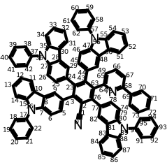 N#Cc1c(-c2ccc3c(c2)c2ccccc2n3-c2ccccc2)c(-c2ccc3c(c2)c2ccccc2n3-c2ccccc2)c(-c2ccc3c(c2)c2ccccc2n3-c2ccccc2)c(-c2cccc(-c3ccccc3)n2)c1-c1ccc2c(c1)c1ccccc1n2-c1ccccc1